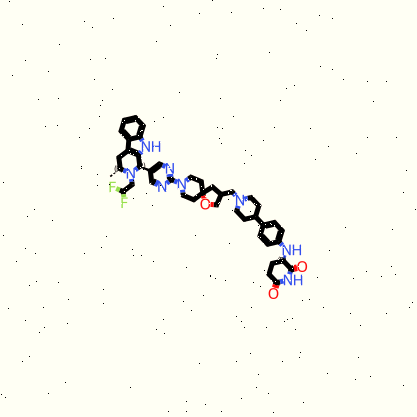 C[C@@H]1Cc2c([nH]c3ccccc23)[C@@H](c2cnc(N3CCC4(CC3)CC(CN3CCC(c5ccc(N[C@@H]6CCC(=O)NC6=O)cc5)CC3)CO4)nc2)N1CC(F)F